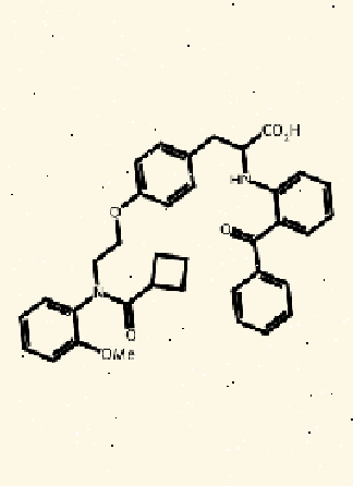 COc1ccccc1N(CCOc1ccc(CC(Nc2ccccc2C(=O)c2ccccc2)C(=O)O)cc1)C(=O)C1CCC1